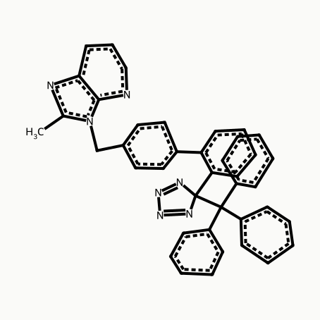 Cc1nc2cccnc2n1Cc1ccc(-c2ccccc2C2(C(c3ccccc3)(c3ccccc3)c3ccccc3)N=NN=N2)cc1